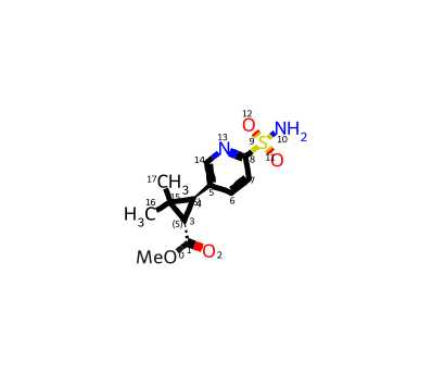 COC(=O)[C@H]1[C@H](c2ccc(S(N)(=O)=O)nc2)C1(C)C